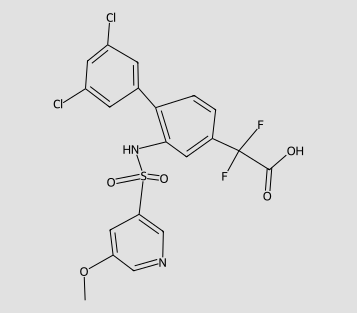 COc1cncc(S(=O)(=O)Nc2cc(C(F)(F)C(=O)O)ccc2-c2cc(Cl)cc(Cl)c2)c1